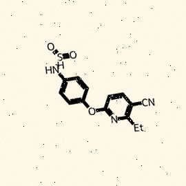 CCc1nc(Oc2ccc(N[SH](=O)=O)cc2)ccc1C#N